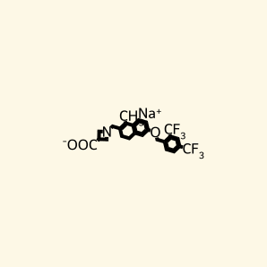 CC1=C(CN2CC(C(=O)[O-])C2)CCc2cc(OCc3ccc(C(F)(F)F)cc3C(F)(F)F)ccc21.[Na+]